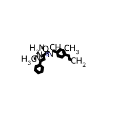 C=CCc1ccc(C(=C)/N=C(\ON)c2cc(-c3ccccc3)n(C)n2)cc1C